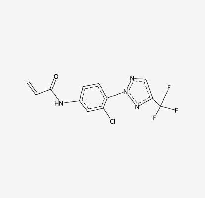 C=CC(=O)Nc1ccc(-n2ncc(C(F)(F)F)n2)c(Cl)c1